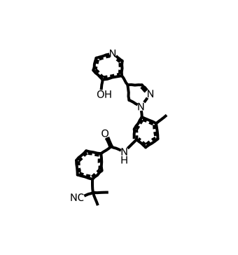 Cc1ccc(NC(=O)c2cccc(C(C)(C)C#N)c2)cc1N1CC(c2cnccc2O)C=N1